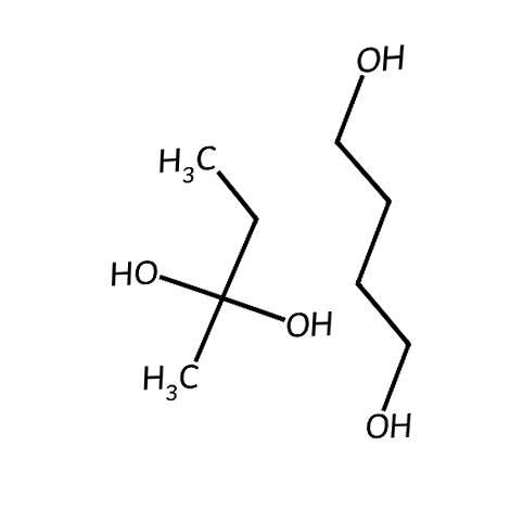 CCC(C)(O)O.OCCCCO